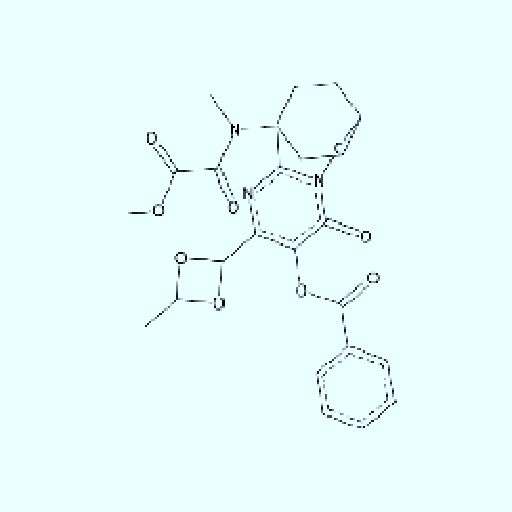 COC(=O)C(=O)N(C)C12CCC(CC1)Cn1c2nc(C2OC(C)O2)c(OC(=O)c2ccccc2)c1=O